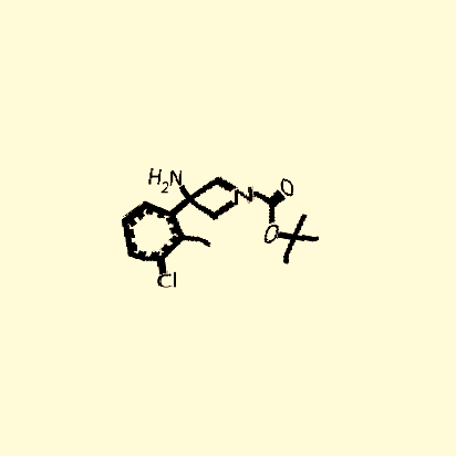 Cc1c(Cl)cccc1C1(N)CN(C(=O)OC(C)(C)C)C1